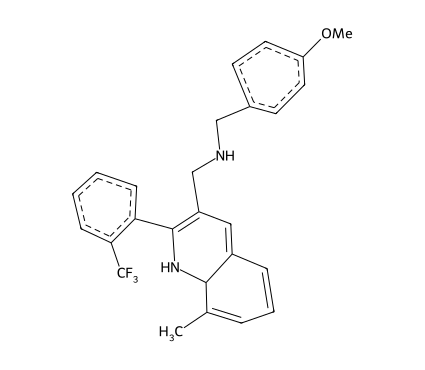 COc1ccc(CNCC2=C(c3ccccc3C(F)(F)F)NC3C(C)=CC=CC3=C2)cc1